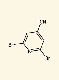 N#Cc1cc(Br)nc(Br)c1